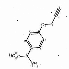 C#CCOc1ccc(C(N)C(=O)O)cc1